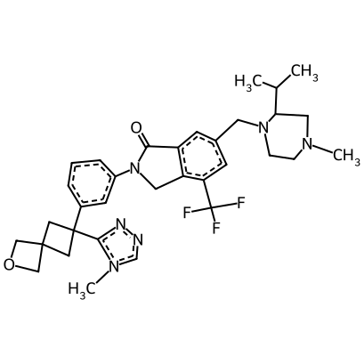 CC(C)C1CN(C)CCN1Cc1cc2c(c(C(F)(F)F)c1)CN(c1cccc(C3(c4nncn4C)CC4(COC4)C3)c1)C2=O